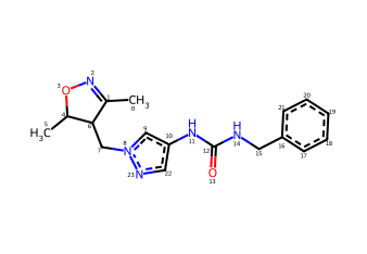 CC1=NOC(C)C1Cn1cc(NC(=O)NCc2ccccc2)cn1